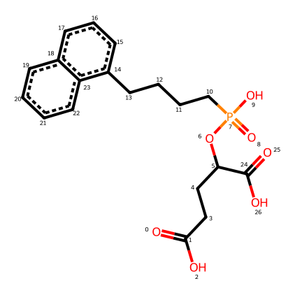 O=C(O)CCC(OP(=O)(O)CCCCc1cccc2ccccc12)C(=O)O